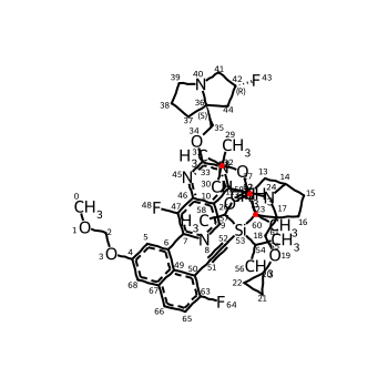 COCOc1cc(-c2ncc3c(N4CC5CCC(COC6CC6)(C4)N5C(=O)OC(C)(C)C)nc(OC[C@@]45CCCN4C[C@H](F)C5)nc3c2F)c2c(C#C[Si](C(C)C)(C(C)C)C(C)C)c(F)ccc2c1